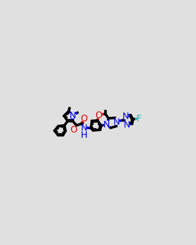 Cc1cc(-c2ccccc2)c(C(=O)C(=O)Nc2ccc3c(c2)OC(C)C2CN(c4ncc(F)cn4)CCN32)n1C